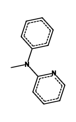 CN(c1ccccc1)c1ccccn1